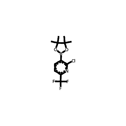 CC1(C)OB(c2ccc(C(F)(F)F)nc2Cl)OC1(C)C